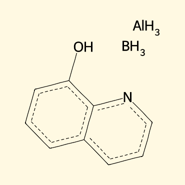 B.Oc1cccc2cccnc12.[AlH3]